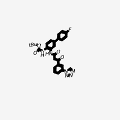 CC(C)(C)OC(=O)Nc1ccc(-c2ccc(F)cc2)cc1NC(=O)CC(=O)c1cccc(-n2cnnn2)c1